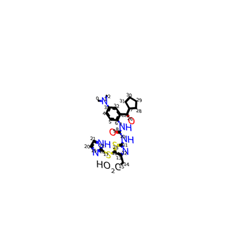 CN(C)c1ccc(NC(=O)Nc2nc(CC(=O)O)c(Sc3ncc[nH]3)s2)c(C(=O)C2CCCC2)c1